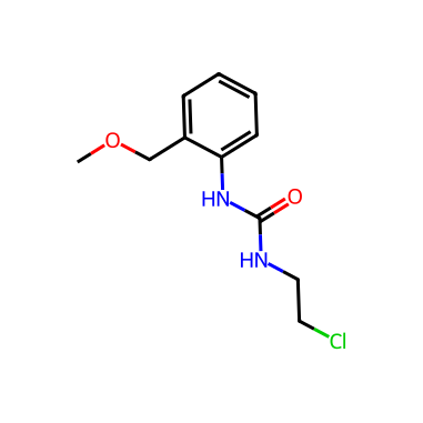 COCc1ccccc1NC(=O)NCCCl